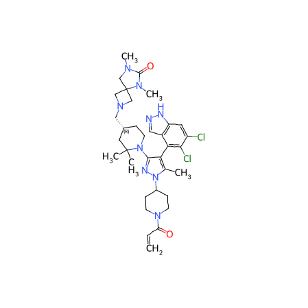 C=CC(=O)N1CCC(n2nc(N3CC[C@@H](CN4CC5(C4)CN(C)C(=O)N5C)CC3(C)C)c(-c3c(Cl)c(Cl)cc4[nH]ncc34)c2C)CC1